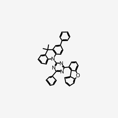 CC1(C)c2ccccc2N(c2nc(-c3ccccc3)nc(-c3cccc4oc5ccccc5c34)n2)c2ccc(-c3ccccc3)cc21